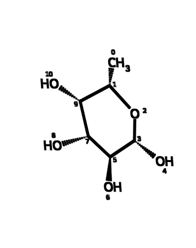 C[C@@H]1O[C@H](O)[C@@H](O)[C@H](O)[C@@H]1O